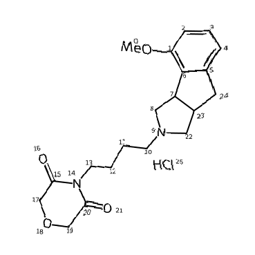 COc1cccc2c1C1CN(CCCCN3C(=O)COCC3=O)CC1C2.Cl